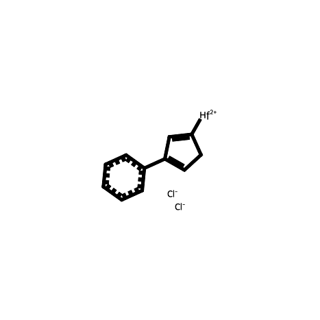 [Cl-].[Cl-].[Hf+2][C]1=CC(c2ccccc2)=CC1